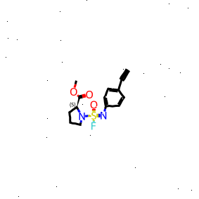 C#Cc1ccc(N=S(=O)(F)N2CCC[C@H]2C(=O)OC)cc1